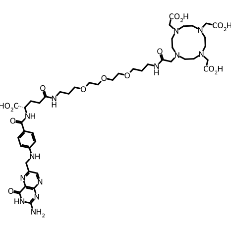 Nc1nc2ncc(CNc3ccc(C(=O)N[C@@H](CCC(=O)NCCCOCCOCCOCCCNC(=O)CN4CCN(CC(=O)O)CCN(CC(=O)O)CCN(CC(=O)O)CC4)C(=O)O)cc3)nc2c(=O)[nH]1